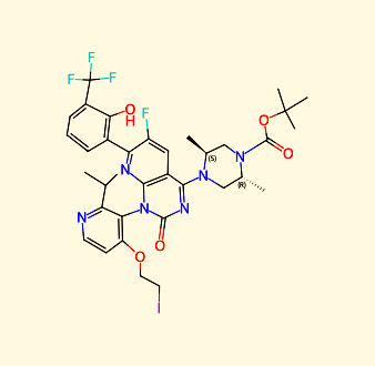 CC(C)c1nccc(OCCI)c1-n1c(=O)nc(N2C[C@@H](C)N(C(=O)OC(C)(C)C)C[C@@H]2C)c2cc(F)c(-c3cccc(C(F)(F)F)c3O)nc21